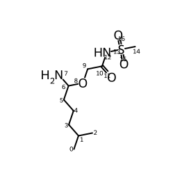 CC(C)CCCC(N)OCC(=O)NS(C)(=O)=O